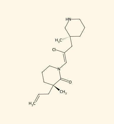 C=CC[C@]1(C)CCCN(/C=C(\Cl)C[C@]2(C)CCCNC2)C1=O